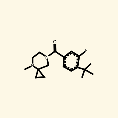 CN1CCN(C(=O)c2ccc(C(C)(C)C)c(F)c2)CC12CC2